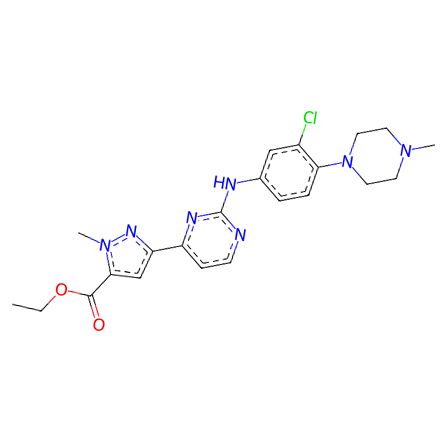 CCOC(=O)c1cc(-c2ccnc(Nc3ccc(N4CCN(C)CC4)c(Cl)c3)n2)nn1C